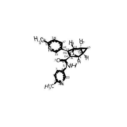 Cc1ccc(NC(=O)[C@@H]2[C@@H]3O[C@@H]([C@H]4C[C@H]43)[C@@H]2c2ccc(C)nc2)cn1